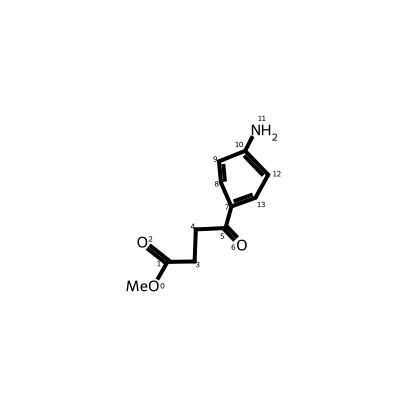 COC(=O)CCC(=O)c1ccc(N)cc1